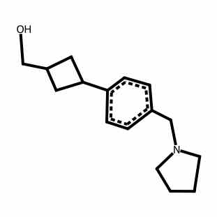 OCC1CC(c2ccc(CN3CCCC3)cc2)C1